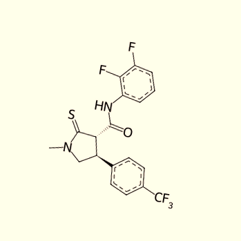 CN1C[C@H](c2ccc(C(F)(F)F)cc2)[C@@H](C(=O)Nc2cccc(F)c2F)C1=S